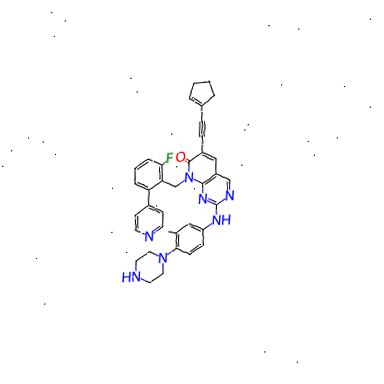 Cc1cc(Nc2ncc3cc(C#CC4=CCCC4)c(=O)n(Cc4c(F)cccc4-c4ccncc4)c3n2)ccc1N1CCNCC1